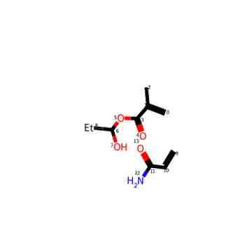 C=C(C)C(=O)OC(O)CC.C=CC(N)=O